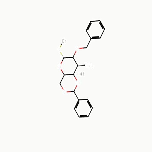 CCS[C@@H]1OC2COC(c3ccccc3)O[C@@H]2[C@H](C)C1OCc1ccccc1